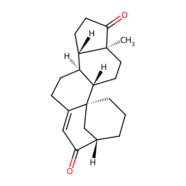 C[C@]12CC[C@H]3[C@@H](CCC4=CC(=O)[C@H]5CCC[C@]43C5)[C@@H]1CCC2=O